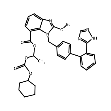 CCOc1nc2cccc(C(=O)OC(C)OC(=O)OC3CCCCC3)c2n1Cc1ccc(-c2ccccc2-c2ncn[nH]2)cc1